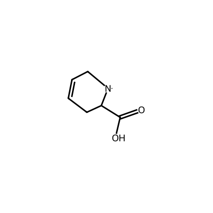 O=C(O)C1CC=CC[N]1